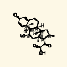 C[C@@H]1C[C@H]2[C@@H]3CCC4=CC(=O)C=C[C@]4(C)[C@H]3[C@@H](O)C[C@]2(C)[C@H]1C(=O)C(=O)O